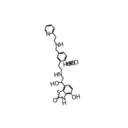 Cl.Cl.Cl.O=c1[nH]c2c(O)ccc(C(O)CNCCc3cccc(CNCCc4ccccn4)c3)c2s1